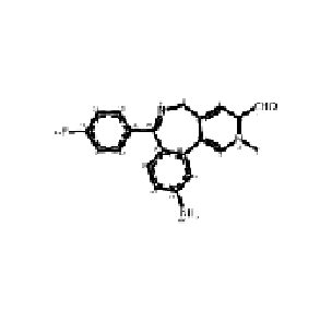 CN1C=C2C(=CC1C=O)CN=C(c1ccc(F)cc1)c1ccc(N)cc12